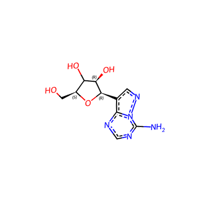 Nc1ncnc2c([C@H]3O[C@@H](CO)C(O)[C@H]3O)cnn12